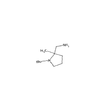 CC(C)(C)N1CCCC1(C)CN